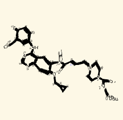 CC(C)(C)OC(=O)N1CCN(C/C=C/C(=O)Nc2cc3c(Nc4ccc(F)c(Cl)c4)ncnc3cc2OCC2CC2)CC1